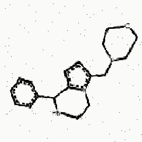 c1ccc(C2NCCn3c(CN4CCOCC4)ccc32)cc1